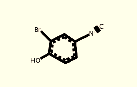 [C-]#[N+]c1ccc(O)c(Br)c1